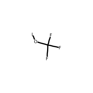 FC(F)(F)OI